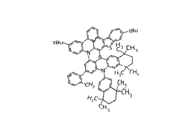 Cc1ccccc1-c1cc2c3c(c1)N(c1ccc(C(C)(C)C)cc1-c1ccccc1)c1ccc4c(sc5cc(C(C)(C)C)ccc54)c1B3c1cc3c(cc1N2c1ccc2c(c1)C(C)(C)CCC2(C)C)C(C)(C)CCC3(C)C